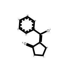 O=C1CCCC1=C(Cl)c1ccccc1